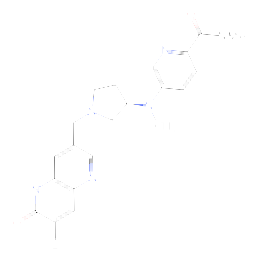 CCc1cc2ncc(CN3CC[C@@H](N(C)c4ccc(C(=O)NC)nc4)C3)cc2[nH]c1=O